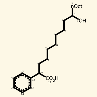 CCCCCCCCC(O)CCCCCCCC(C(=O)O)c1ccccc1